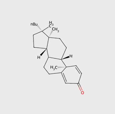 CCCC[C@@]1(C)CC[C@H]2C3CCC4=CC(=O)C=C[C@]4(C)[C@H]3CC[C@@]21C